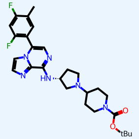 Cc1cc(-c2cnc(N[C@@H]3CCN(C4CCN(C(=O)OC(C)(C)C)CC4)C3)c3nccn23)c(F)cc1F